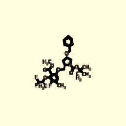 COC(=O)c1c(OC[C@H]2C[C@H](OCc3ccccc3)CN2C(=O)OC(C)(C)C)cc(C)c(F)c1O[C@H](C)C(F)F